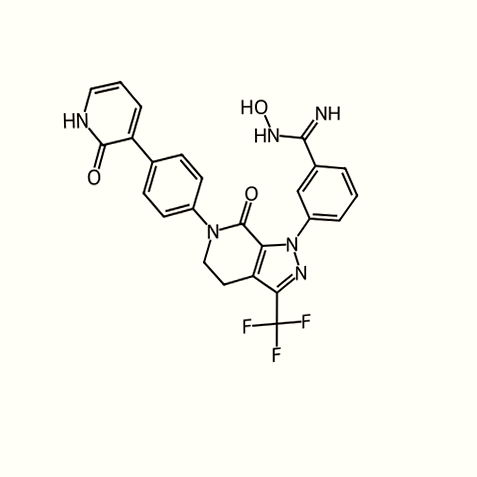 N=C(NO)c1cccc(-n2nc(C(F)(F)F)c3c2C(=O)N(c2ccc(-c4ccc[nH]c4=O)cc2)CC3)c1